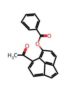 CC(=O)c1ccc2c3c(ccc(OC(=O)c4ccccc4)c13)C=C2